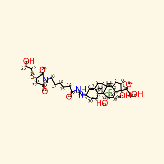 C[C@@H]1C[C@H]2[C@@H]3CCC4=CC(=NNC(=O)CCCCCN5C(=O)CC(SCCO)C5=O)C=C[C@]4(C)[C@@]3(F)[C@@H](O)C[C@]2(C)[C@@]1(O)C(=O)CO